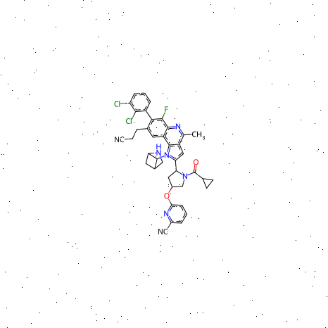 Cc1nc2c(F)c(-c3cccc(Cl)c3Cl)c(CCC#N)cc2c2c1cc(C1CC(Oc3cccc(C#N)n3)CN1C(=O)C1CC1)n2C1C2CNC1C2